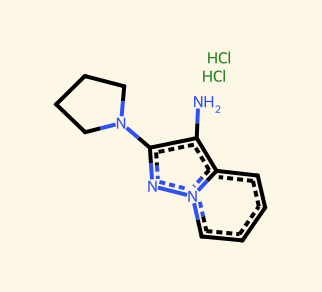 Cl.Cl.Nc1c(N2CCCC2)nn2ccccc12